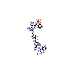 O=C(O)NC(C(=O)N1CCCC1c1nc(CCc2ccc(CCc3c[nH]c([C@@H]4CCCN4C(=O)[C@H](NC(=O)O)c4ccccc4)n3)cc2)c[nH]1)c1ccccc1